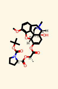 COc1ccc2c3c1O[C@H]1C(OC(=O)[C@H](C)OC(=O)[C@@H]4CCCN4C(=O)OC(C)(C)C)=CC[C@@]4(O)[C@@H](C2)N(C)CC[C@]314